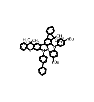 CCCCc1ccc(N2c3ccc(CCCC)cc3B3c4c(cc5c(c42)C(C)(C)c2ccccc2-5)-c2cc4c(cc2N3c2ccc(-c3ccccc3)cc2)Sc2ccccc2C4(C)C)cc1